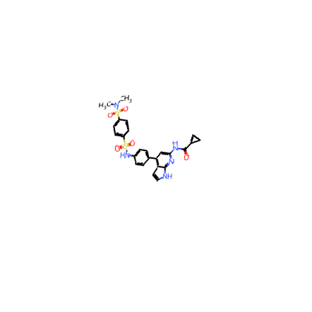 CN(C)S(=O)(=O)c1ccc(S(=O)(=O)Nc2ccc(-c3cc(NC(=O)C4CC4)nc4[nH]ccc34)cc2)cc1